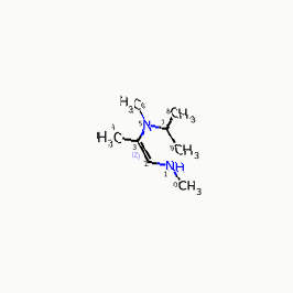 CN/C=C(/C)N(C)C(C)C